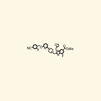 COC(=O)c1cc(F)c2nc(CN3CCN(c4cccc(OCc5ccc(C#N)cc5F)n4)CC3)n(C[C@@H]3CCO3)c2c1